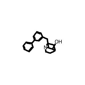 OC1C2CCN(CC2)C1Cc1cccc(-c2ccccc2)c1